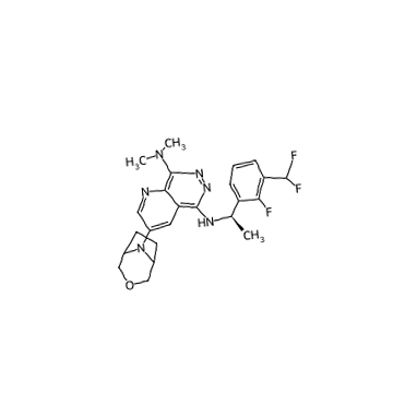 C[C@@H](Nc1nnc(N(C)C)c2ncc(N3C4CCC3COC4)cc12)c1cccc(C(F)F)c1F